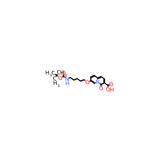 CC(C)(C)OC(=O)NCCCCCOc1ccc2ccc(C(=O)O)c(=O)n2c1